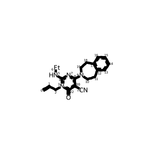 C=CCn1c(NCC)nc(N2CCc3ccccc3CC2)c(C#N)c1=O